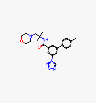 Cc1ccc(-c2cc(C(=O)NC(C)(C)CN3CCOCC3)cc(-n3cnnn3)c2)cc1